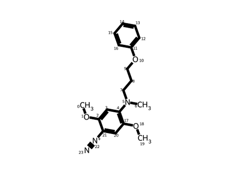 COc1cc(N(C)CCCOc2ccccc2)c(OC)cc1[N+]#N